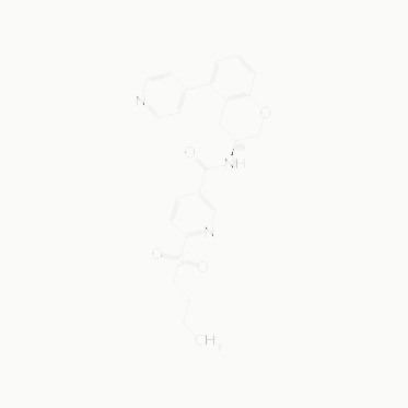 CCCCS(=O)(=O)c1ccc(C(=O)N[C@@H]2COc3cccc(-c4ccncc4)c3C2)cn1